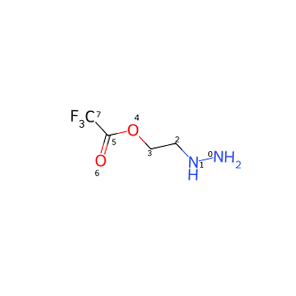 NNCCOC(=O)C(F)(F)F